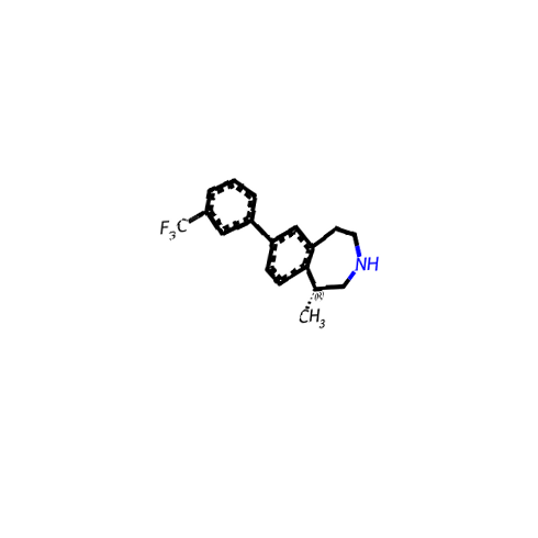 C[C@H]1CNCCc2cc(-c3cccc(C(F)(F)F)c3)ccc21